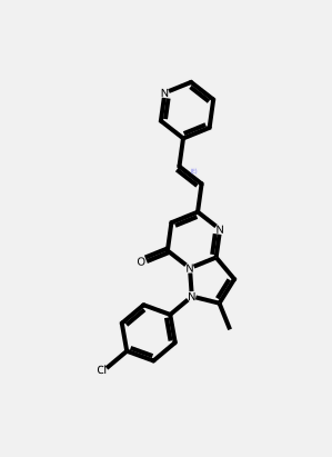 Cc1cc2nc(/C=C/c3cccnc3)cc(=O)n2n1-c1ccc(Cl)cc1